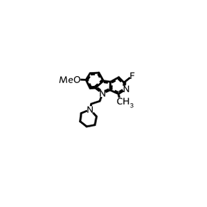 COc1ccc2c3cc(F)nc(C)c3n(CCN3CCCCC3)c2c1